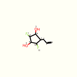 C=CCC1C(O)C(F)C(O)C1F